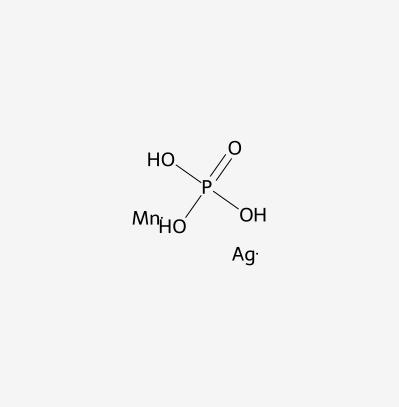 O=P(O)(O)O.[Ag].[Mn]